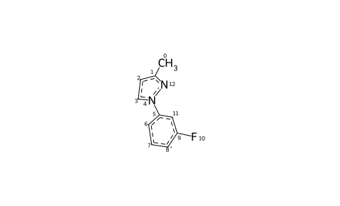 Cc1ccn(-c2cc[c]c(F)c2)n1